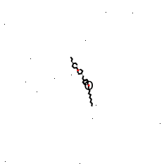 CCCCCCCCCOc1ccc(CC[C@H]2CC[C@H]([C@H]3CC[C@H](CCC)CC3)CC2)cc1